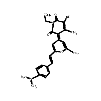 [C-]#[N+]C1=C(C)/C(=C2\C=C(C)OC(/C=C/c3ccc(N(C)C)cc3)=C2)C(=O)N(CC(=O)O)C1=O